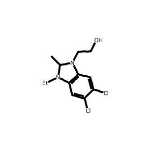 CCN1c2cc(Cl)c(Cl)cc2N(CCO)C1C